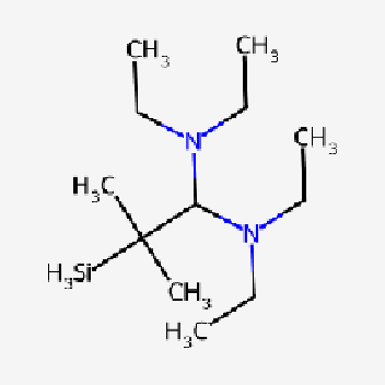 CCN(CC)C(N(CC)CC)C(C)(C)[SiH3]